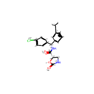 CC(C)c1cccc([C@H](NC(=O)[C@@H]2CNC(=O)O2)c2ccc(Cl)cc2)c1